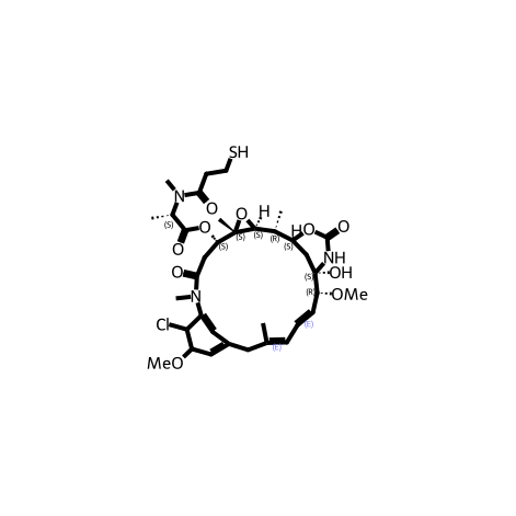 COC1C=C2C=C(C1Cl)N(C)C(=O)C[C@H](OC(=O)[C@H](C)N(C)C(=O)CCS)[C@]1(C)O[C@H]1[C@H](C)[C@@H]1C[C@@](O)(NC(=O)O1)[C@H](OC)/C=C/C=C(\C)C2